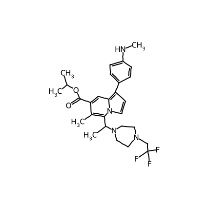 CNc1ccc(-c2ccn3c(C(C)N4CCN(CC(F)(F)F)CC4)c(C)c(C(=O)OC(C)C)cc23)cc1